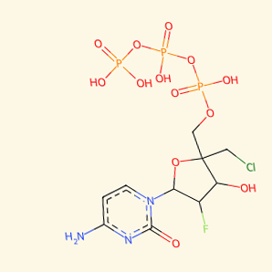 Nc1ccn(C2OC(CCl)(COP(=O)(O)OP(=O)(O)OP(=O)(O)O)C(O)C2F)c(=O)n1